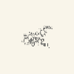 COc1ccc(CN[C@H](CC(N)=O)C(=O)N2CCC[C@H]3CCCC[C@@H]32)c(OC)c1